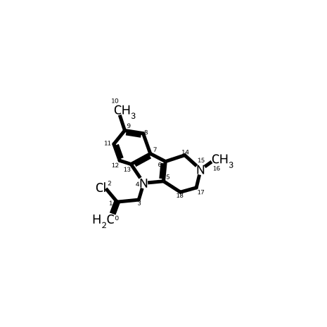 C=C(Cl)Cn1c2c(c3cc(C)ccc31)CN(C)CC2